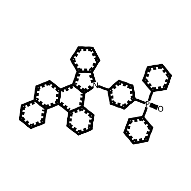 O=P(c1ccccc1)(c1ccccc1)c1ccc(-n2c3ccccc3c3c4ccc5ccccc5c4c4ccccc4c32)cc1